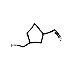 O=CC1CCC(CO)C1